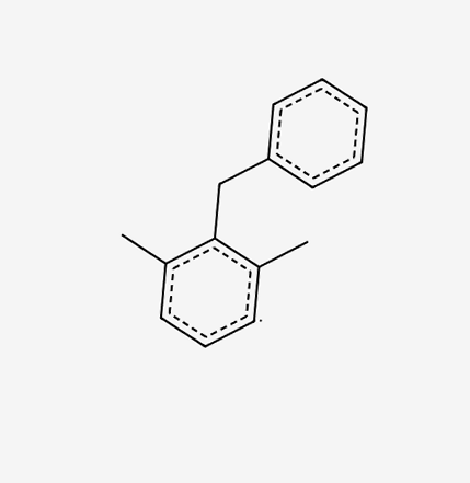 Cc1[c]ccc(C)c1Cc1ccccc1